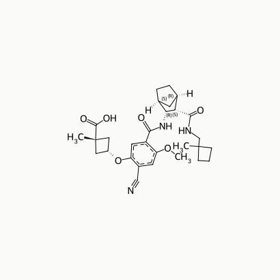 COc1cc(C#N)c(O[C@H]2C[C@@](C)(C(=O)O)C2)cc1C(=O)N[C@@H]1[C@H]2CC[C@H](C2)[C@@H]1C(=O)NCC1(C)CCC1